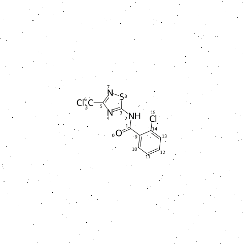 O=C(Nc1nc(C(Cl)(Cl)Cl)ns1)c1ccccc1Cl